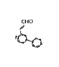 O=CC=Cc1cc(-c2ccccc2)ccn1